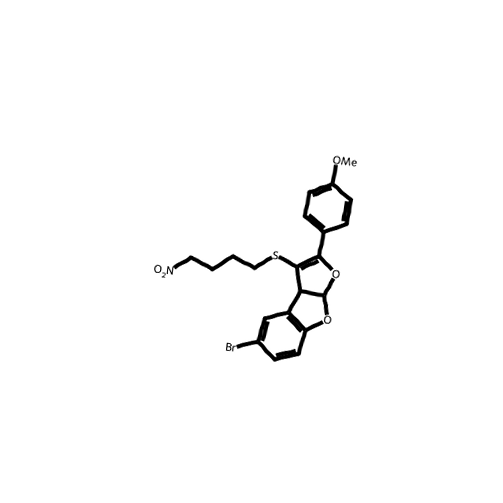 COc1ccc(C2=C(SCCCC[N+](=O)[O-])C3c4cc(Br)ccc4OC3O2)cc1